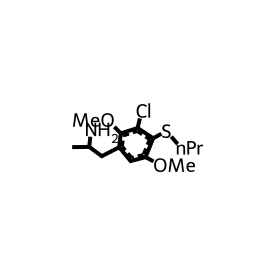 CCCSc1c(OC)cc(CC(C)N)c(OC)c1Cl